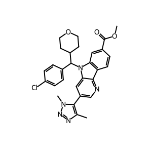 COC(=O)c1ccc2c3ncc(-c4c(C)nnn4C)cc3n(C(c3ccc(Cl)cc3)C3CCOCC3)c2c1